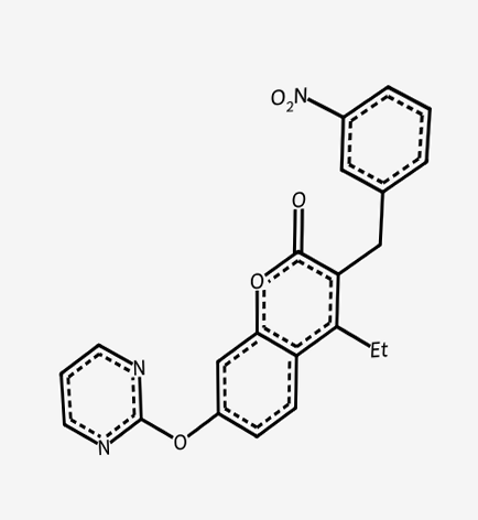 CCc1c(Cc2cccc([N+](=O)[O-])c2)c(=O)oc2cc(Oc3ncccn3)ccc12